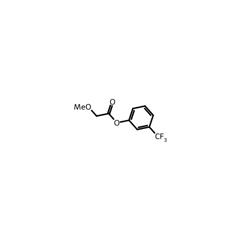 COCC(=O)Oc1cccc(C(F)(F)F)c1